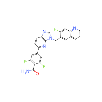 NC(=O)c1c(F)cc(-c2ccc3ncn(Cc4cc5cccnc5cc4F)c3n2)cc1F